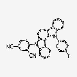 N#Cc1ccc(-n2c3ccccc3c3c2ccc2c4ccccc4n(-c4ccc(F)cc4)c23)c(C#N)c1